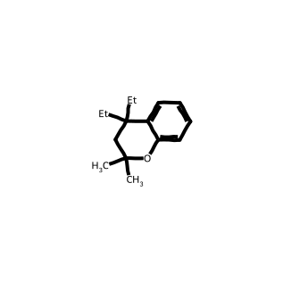 CCC1(CC)CC(C)(C)Oc2ccccc21